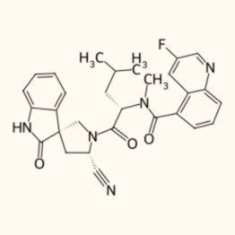 CC(C)C[C@@H](C(=O)N1C[C@]2(C[C@H]1C#N)C(=O)Nc1ccccc12)N(C)C(=O)c1cccc2ncc(F)cc12